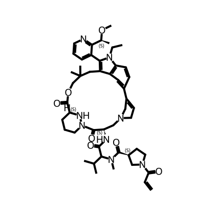 C=CC(=O)N1CC[C@H](C(=O)N(C)C(C(=O)N[C@H]2CN3CC=C(C3)c3ccc4c(c3)c(c(-c3cccnc3[C@H](C)OC)n4CC)CC(C)(C)COC(=O)[C@@H]3CCCN(N3)C2=O)C(C)C)C1